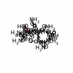 CC(O)C1NC(=O)C(CCC(N)=O)NC(=O)C(NC2CCC(C3CCCCCC3)CC2)CCSCC(C(=O)NC(Cc2ccc(OCCN)cc2)C(=O)NC(Cc2ccc3ccccc3c2)C(=O)NC2(C(=O)NC(CCC(=O)O)C(=O)NC(CC(N)=O)C(=O)NC(CC(N)=O)C(N)=O)CCOCC2)NC(=O)C(CCC(N)=O)NC(=O)C(Cc2c[nH]c3ccccc23)NC1=O